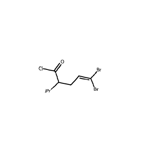 CC(C)C(CC=C(Br)Br)C(=O)Cl